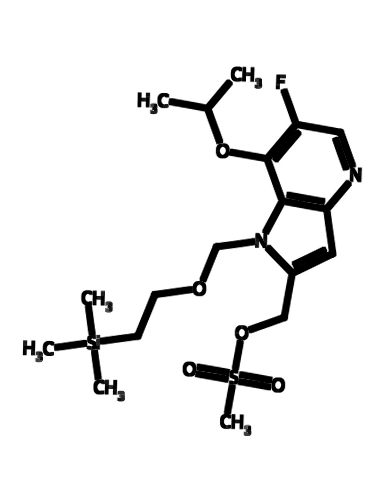 CC(C)Oc1c(F)cnc2cc(COS(C)(=O)=O)n(COCC[Si](C)(C)C)c12